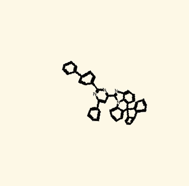 c1ccc(-c2ccc(-c3nc(-c4ccccc4)cc(-c4nc5cccc6c5n4-c4ccccc4C64c5ccccc5-c5ccccc54)n3)cc2)cc1